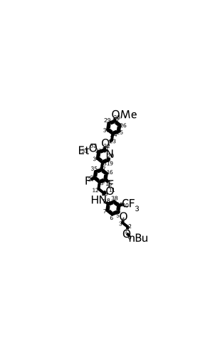 CCCCOCCOc1ccc(NC(=O)Cc2c(F)cc(-c3cnc(OCc4ccc(OC)cc4)c(OCC)c3)cc2F)cc1C(F)(F)F